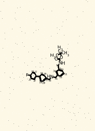 CC(C)(C)OC(=O)NCc1cccc(CNCc2ccc(-c3ccc(F)cc3)cc2)c1